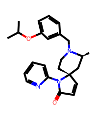 CC(C)Oc1cccc(CN2CC[C@]3(C=CC(=O)N3c3ccccn3)C[C@@H]2C)c1